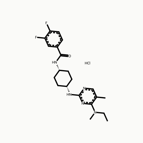 CCN(C)c1nc(N[C@H]2CC[C@@H](NC(=O)c3ccc(F)c(F)c3)CC2)ncc1C.Cl